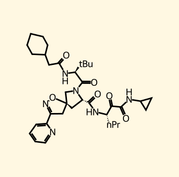 CCC[C@H](NC(=O)[C@@H]1C[C@]2(CC(c3ccccn3)=NO2)CN1C(=O)[C@@H](NC(=O)CC1CCCCC1)C(C)(C)C)C(=O)C(=O)NC1CC1